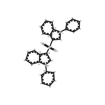 O=S(=O)(c1cn(-c2ccccc2)c2ccccc12)c1cn(-c2ccccc2)c2ccccc12